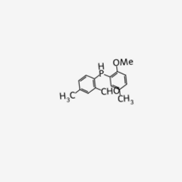 COc1ccc(C)cc1Pc1ccc(C)cc1C=O